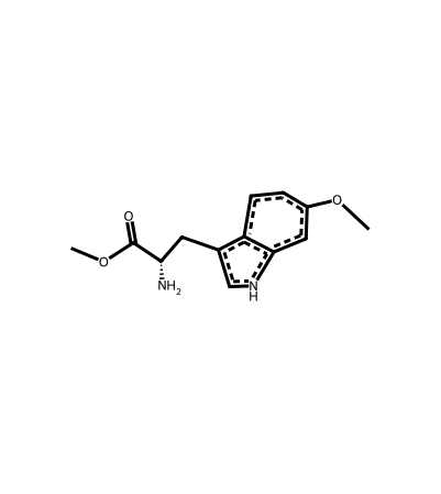 COC(=O)[C@@H](N)Cc1c[nH]c2cc(OC)ccc12